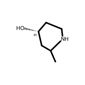 CC1C[C@H](O)CCN1